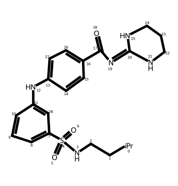 CC(C)CCNS(=O)(=O)c1cccc(Nc2ccc(C(=O)N=C3NCCCN3)cc2)c1